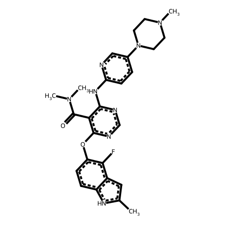 Cc1cc2c(F)c(Oc3ncnc(Nc4ccc(N5CCN(C)CC5)cn4)c3C(=O)N(C)C)ccc2[nH]1